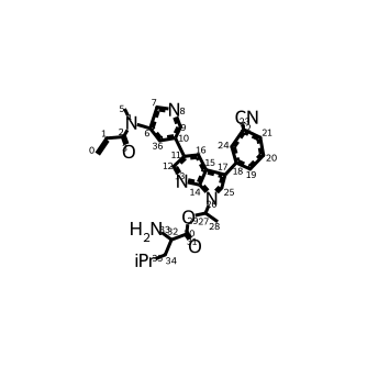 C=CC(=O)N(C)c1cncc(-c2cnc3c(c2)c(-c2cccc(C#N)c2)cn3C(C)OC(=O)C(N)CC(C)C)c1